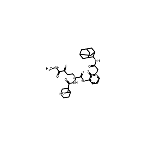 CNC(=O)C(=O)CC[C@H](NC(=O)C1CN2CCC1CC2)C(=O)Nc1cccn(CC(=O)NC2C3CC4CC(C3)CC2C4)c1=O